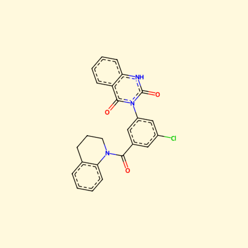 O=C(c1cc(Cl)cc(-n2c(=O)[nH]c3ccccc3c2=O)c1)N1CCCc2ccccc21